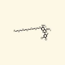 Nc1cc2c(N)nc(-c3cc(Cl)c(Cl)cc3F)nc2cc1OCCOCCOCCOCCOCCOCCF